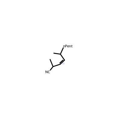 CCCCCC(C)/C=C\C(C)C#N